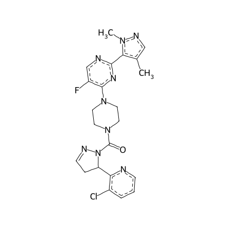 Cc1cnn(C)c1-c1ncc(F)c(N2CCN(C(=O)N3N=CCC3c3ncccc3Cl)CC2)n1